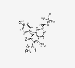 COC(=O)c1c(N)c2ncc(NCC(F)(F)F)nc2n(-c2ccc(Cl)cc2)c1=O